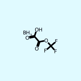 B.O=C(O)C(=O)OC(F)(F)F